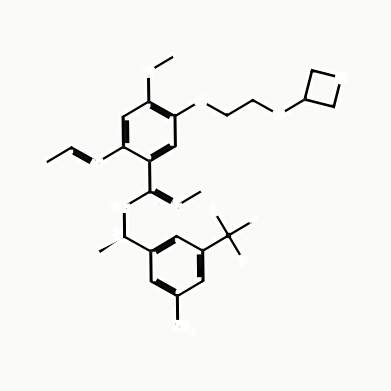 C/C=N/c1cc(OC)c(OCCOC2COC2)cc1/C(=N\C)N[C@H](C)c1cc(N)cc(C(F)(F)F)c1